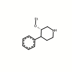 CCO[C@@H]1CNCCC1c1ccccc1